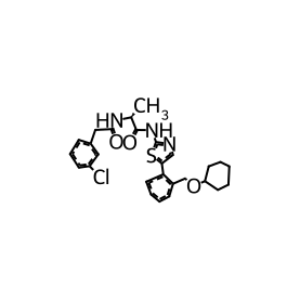 C[C@H](NC(=O)Cc1cccc(Cl)c1)C(=O)Nc1ncc(-c2ccccc2COC2CCCCC2)s1